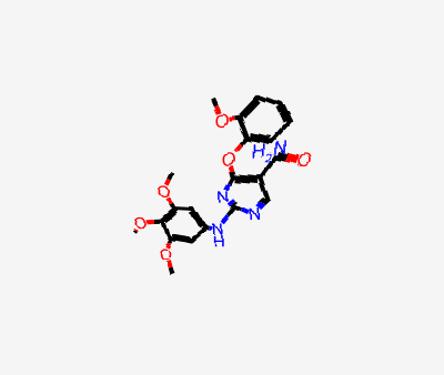 COc1ccccc1Oc1nc(Nc2cc(OC)c(OC)c(OC)c2)ncc1C(N)=O